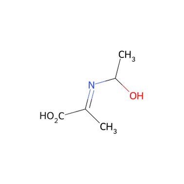 CC(=NC(C)O)C(=O)O